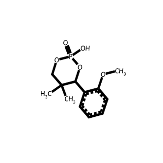 COc1ccccc1C1OP(=O)(O)OCC1(C)C